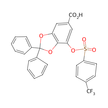 O=C(O)c1cc2c(c(OS(=O)(=O)c3ccc(C(F)(F)F)cc3)c1)OC(c1ccccc1)(c1ccccc1)O2